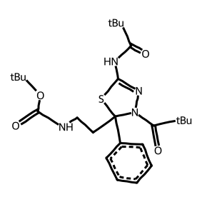 CC(C)(C)OC(=O)NCCC1(c2ccccc2)SC(NC(=O)C(C)(C)C)=NN1C(=O)C(C)(C)C